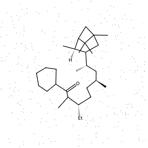 CC[C@@H](CC[C@H](C)C[C@H](C)C1CC2(C)CC([C@@H]1C)C2(C)C)C(C)C(=O)C1CCCCC1